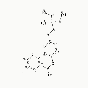 CCC(Oc1ccc(CCC(N)(CO)CO)cc1)c1cccc(C)c1